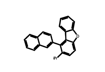 CC(C)c1ccc2oc3ccccc3c2c1-c1ccc2ccccc2c1